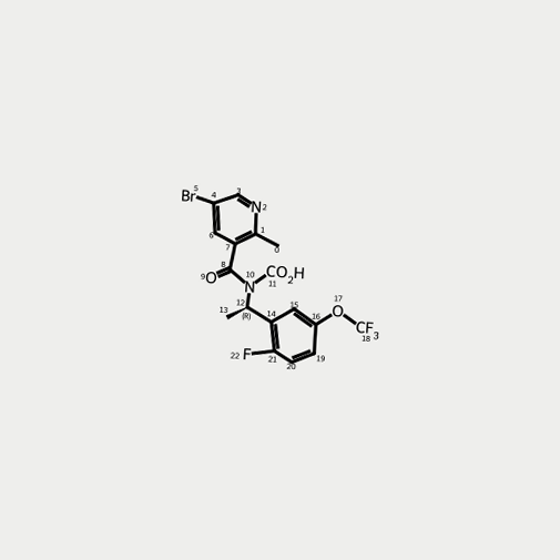 Cc1ncc(Br)cc1C(=O)N(C(=O)O)[C@H](C)c1cc(OC(F)(F)F)ccc1F